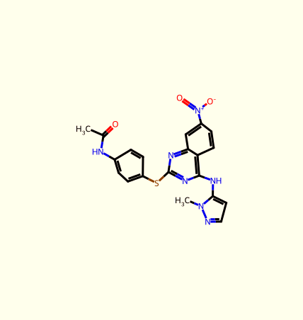 CC(=O)Nc1ccc(Sc2nc(Nc3ccnn3C)c3ccc([N+](=O)[O-])cc3n2)cc1